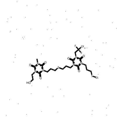 CCSCCCn1c(=O)n(CCCSCCCn2c(=O)n(C)c(=O)n(CCO)c2=O)c(=O)n(CC(F)(F)C(F)(F)F)c1=O